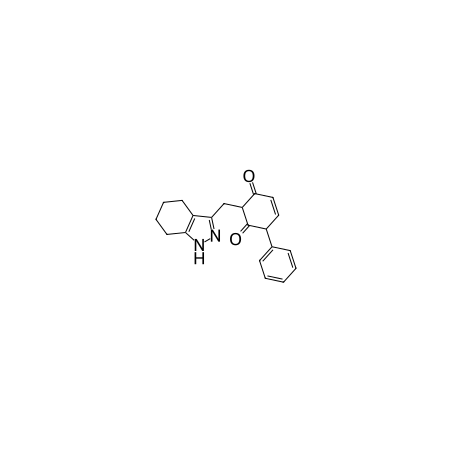 O=C1C=CC(c2ccccc2)C(=O)C1Cc1n[nH]c2c1CCCC2